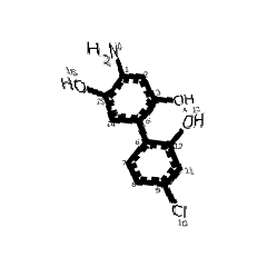 Nc1cc(O)c(-c2ccc(Cl)cc2O)cc1O